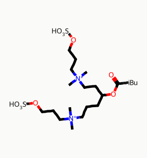 CCC(C)C(=O)OC(CCC[N+](C)(C)CCCOS(=O)(=O)O)CC[N+](C)(C)CCCOS(=O)(=O)O